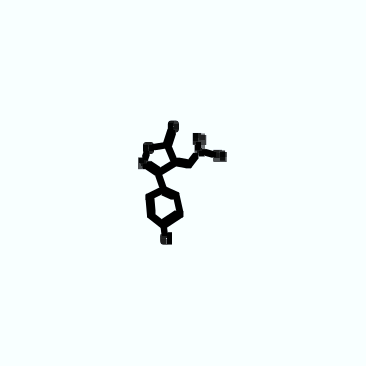 CCN(C=C1C(=O)ON=C1c1ccc(Cl)cc1)CC